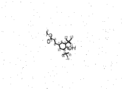 CCOC(=O)CCC1CC(C(C)(C)C)[C@H](O)[C@H](C(C)(C)C)C1